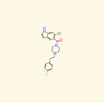 O=C(c1cc2cc[nH]c2cc1Cl)N1CCN(CCc2ccc(F)cc2)CC1